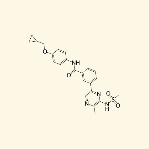 Cc1ncc(-c2cccc(C(=O)Nc3ccc(OCC4CC4)cc3)c2)nc1NS(C)(=O)=O